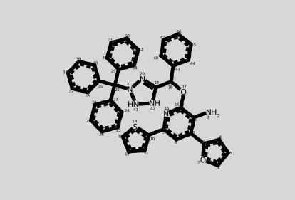 Nc1c(-c2ccco2)cc(-c2cccs2)nc1OC(C1=NN(C(c2ccccc2)(c2ccccc2)c2ccccc2)NN1)c1ccccc1